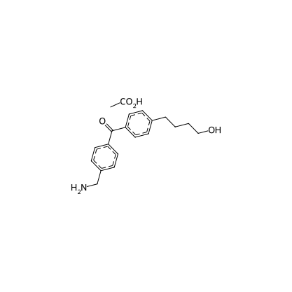 CC(=O)O.NCc1ccc(C(=O)c2ccc(CCCCO)cc2)cc1